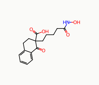 O=C(CCCCC1(C(=O)O)CCc2ccccc2C1=O)NO